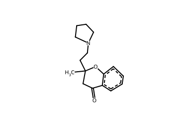 CC1(CCN2CCCC2)CC(=O)c2ccccc2O1